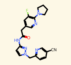 N#Cc1ccc(Cn2ccc(NC(=O)Cc3cnc(N4CCCC4)c(F)c3)n2)nc1